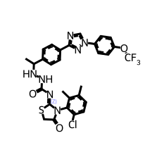 Cc1ccc(Cl)c(N2C(=O)CS/C2=N\C(=O)NNC(C)c2ccc(-c3ncn(-c4ccc(OC(F)(F)F)cc4)n3)cc2)c1C